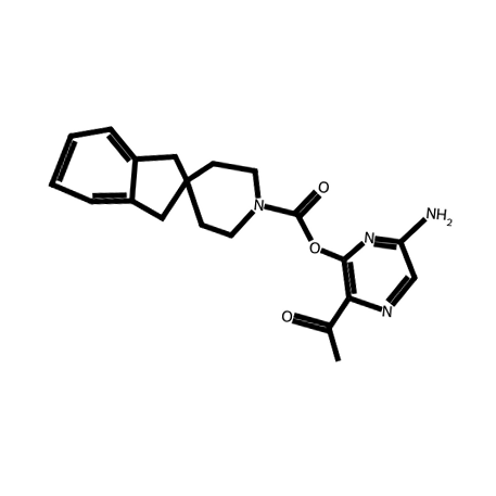 CC(=O)c1ncc(N)nc1OC(=O)N1CCC2(CC1)Cc1ccccc1C2